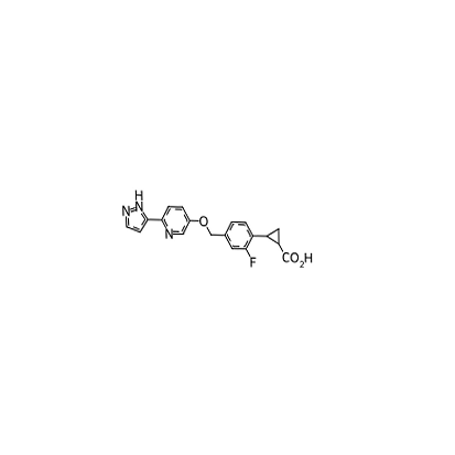 O=C(O)C1CC1c1ccc(COc2ccc(-c3ccn[nH]3)nc2)cc1F